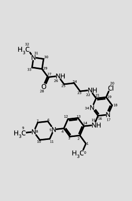 CCc1cc(N2CCN(C)CC2)ccc1Nc1ncc(Cl)c(NCCCNC(=O)C2CN(C)C2)n1